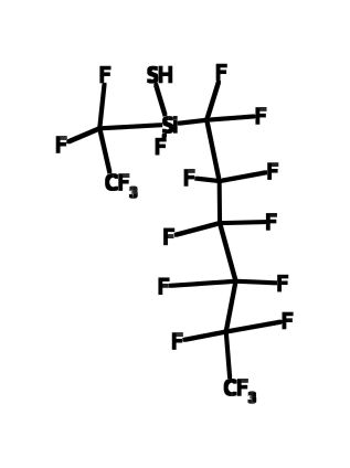 FC(F)(F)C(F)(F)C(F)(F)C(F)(F)C(F)(F)C(F)(F)[Si](F)(S)C(F)(F)C(F)(F)F